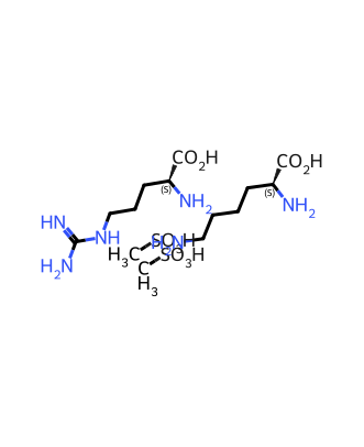 CS(=O)(=O)O.CS(=O)(=O)O.N=C(N)NCCC[C@H](N)C(=O)O.NCCCC[C@H](N)C(=O)O